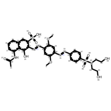 COc1cc(/N=N/c2c(S(=O)(=O)O)cc3cccc(NC(C)=O)c3c2O)c(OC)cc1/N=N/c1ccc(S(=O)(=O)N(CCO)CCO)cc1